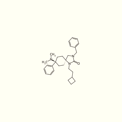 CN(C)[C@]1(c2ccccc2)CC[C@]2(CC1)CN(Cc1ccccc1)C(=O)N2CCC1CCC1